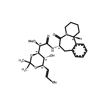 CO[C@@H](C(=O)N[C@H]1Cc2ccccc2[C@H]2CCCCN2C1=O)[C@@H]1OC(C)(C)O[C@H](C=CC(C)(C)C)[C@H]1O